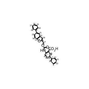 O=C(Nc1cnc(-c2ccccc2)nc1C(=O)O)OCc1cc2cc(-c3ccccc3)ccc2o1